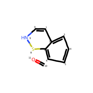 C1=Cc2ccccc2SN1.C=O